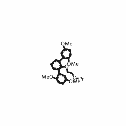 COc1ccc(OC)c(-c2cccc(-c3cc(OC)ccc3OC)c2OCCOC(C)C)c1